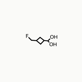 OC(O)C1CC(CF)C1